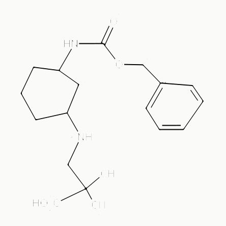 CC(C)(CNC1CCCC(NC(=O)OCc2ccccc2)C1)C(=O)O